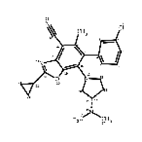 Cc1c(-c2cccc(Cl)c2)c(N2CC[C@H](N(C)C)C2)c2oc(C3CC3)nc2c1C#N